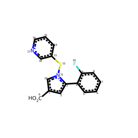 O=C(O)c1cc(-c2ccccc2F)n(Sc2cccnc2)c1